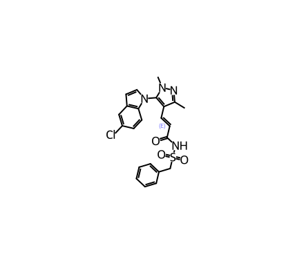 Cc1nn(C)c(-n2ccc3cc(Cl)ccc32)c1/C=C/C(=O)NS(=O)(=O)Cc1ccccc1